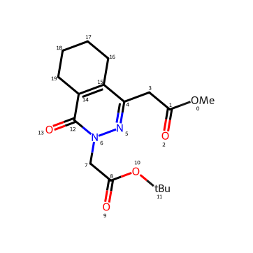 COC(=O)Cc1nn(CC(=O)OC(C)(C)C)c(=O)c2c1CCCC2